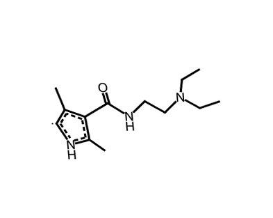 CCN(CC)CCNC(=O)c1c(C)[c][nH]c1C